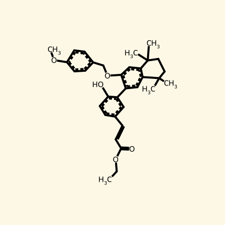 CCOC(=O)C=Cc1ccc(O)c(-c2cc3c(cc2OCc2ccc(OC)cc2)C(C)(C)CCC3(C)C)c1